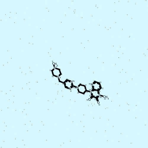 CN1CCN(Cc2cnc(N3CCC(n4c(=O)c(=O)n(C)c5cccnc54)CC3)nc2)CC1